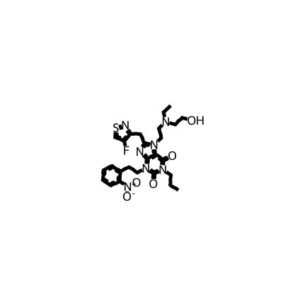 CCCn1c(=O)c2c(nc(Cc3nscc3F)n2CCN(CC)CCO)n(CCc2ccccc2[N+](=O)[O-])c1=O